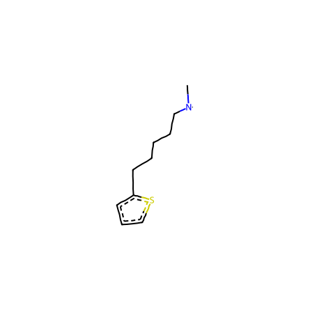 C[N]CCCCCc1cccs1